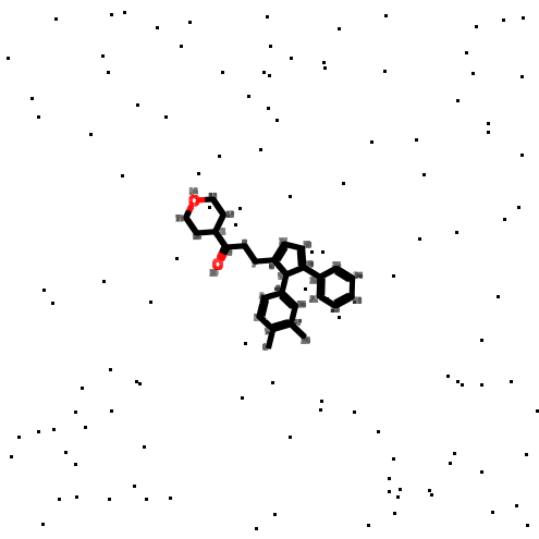 Cc1ccc(C2C(CCC(=O)C3CCOCC3)=CC=C2c2ccccc2)cc1C